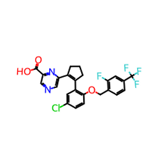 O=C(O)c1cncc(C2=C(c3cc(Cl)ccc3OCc3ccc(C(F)(F)F)cc3F)CCC2)n1